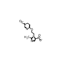 Cc1ncc([N+](=O)[O-])n1CCOC1=CCC(=C=O)C=N1